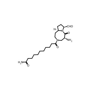 NC(=O)CCCCCCCCCC(=O)N1CC[C@H]2CC[C@@H](C=O)N2C(=O)[C@@H](N)C1